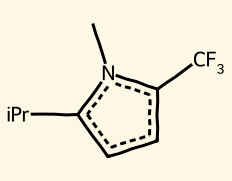 CC(C)c1ccc(C(F)(F)F)n1C